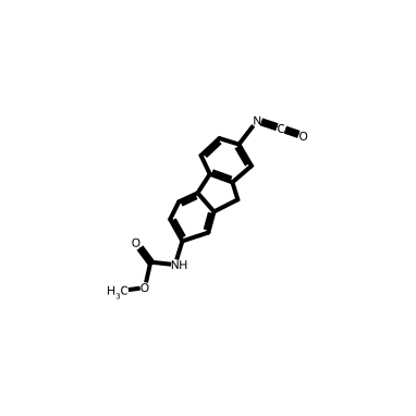 COC(=O)Nc1ccc2c(c1)Cc1cc(N=C=O)ccc1-2